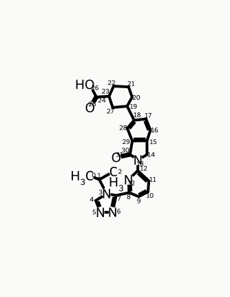 CC(C)n1cnnc1-c1cccc(N2Cc3ccc(C4CCCC(C(=O)O)C4)cc3C2=O)n1